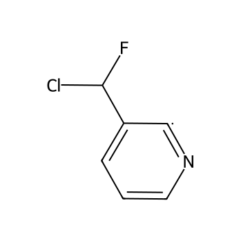 FC(Cl)c1[c]nccc1